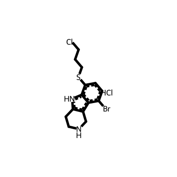 Cl.ClCCCSc1ccc(Br)c2c3c([nH]c12)CCNC3